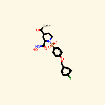 COC(=O)C1CCN(S(=O)(=O)c2ccc(OCc3ccc(F)cc3)cc2)C(C(=O)NO)C1